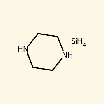 C1CNCCN1.[SiH4]